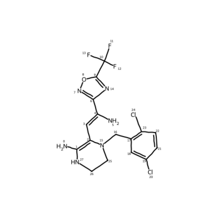 NC1=C(/C=C(\N)c2noc(C(F)(F)F)n2)N(Cc2cc(Cl)ccc2Cl)CCN1